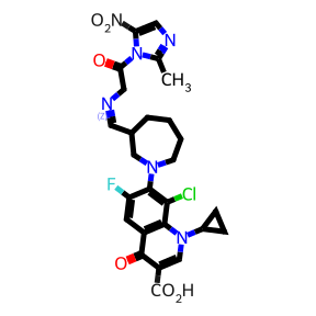 Cc1ncc([N+](=O)[O-])n1C(=O)C/N=C\C1CCCCN(c2c(F)cc3c(=O)c(C(=O)O)cn(C4CC4)c3c2Cl)C1